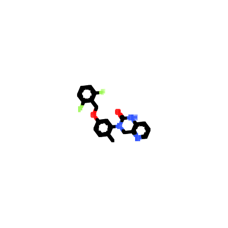 Cc1ccc(OCc2c(F)cccc2F)cc1N1Cc2ncccc2NC1=O